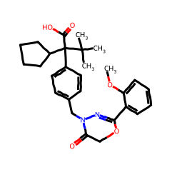 COc1ccccc1C1=NN(Cc2ccc(C(C(=O)O)(C3CCCC3)C(C)(C)C)cc2)C(=O)CO1